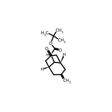 C=C1C[C@@H]2CC(=O)C[C@H](C1)C2NC(=O)OC(C)(C)C